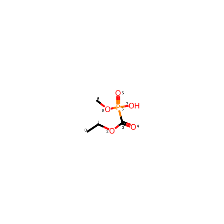 CCOC(=O)P(=O)(O)OC